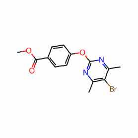 COC(=O)c1ccc(Oc2nc(C)c(Br)c(C)n2)cc1